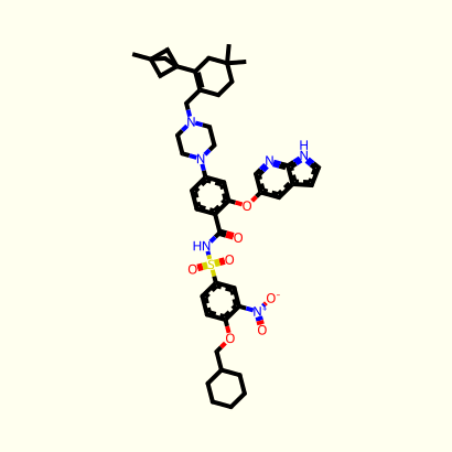 CC1(C)CCC(CN2CCN(c3ccc(C(=O)NS(=O)(=O)c4ccc(OCC5CCCCC5)c([N+](=O)[O-])c4)c(Oc4cnc5[nH]ccc5c4)c3)CC2)=C(C23CC(C)(C2)C3)C1